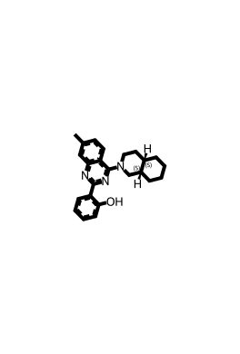 Cc1ccc2c(N3CC[C@@H]4CCCC[C@@H]4C3)nc(-c3ccccc3O)nc2c1